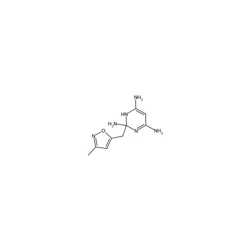 Cc1cc(CC2(N)N=C(N)C=C(N)N2)on1